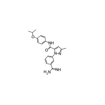 Cc1cc(C(=O)Nc2ccc(OC(C)C)cc2)n(-c2cccc(C(=N)N)c2)n1